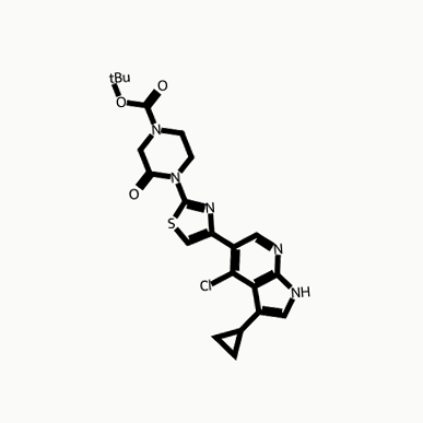 CC(C)(C)OC(=O)N1CCN(c2nc(-c3cnc4[nH]cc(C5CC5)c4c3Cl)cs2)C(=O)C1